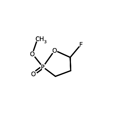 COP1(=O)CCC(F)O1